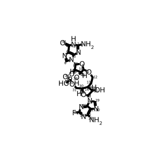 Nc1nc2c(ncn2[C@@H]2OC3OCC[C@H]4[C@@H](O)[C@H](n5cnc6c(N)nc(F)nc65)O[C@@H]4COP(=O)(O)O[C@@H]2[C@@H]3O)c(=O)[nH]1